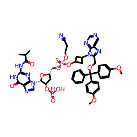 COc1ccc(C(OCc2nc3cncnc3n2C2CC(OP(=S)(OCCC#N)OC[C@@H]3C[C@@H](O[PH](=O)O)[C@H](n4cnc5c(=O)[nH]c(NC(=O)C(C)C)nc54)O3)C2)(c2ccccc2)c2ccc(OC)cc2)cc1